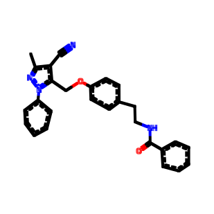 Cc1nn(-c2ccccc2)c(COc2ccc(CCNC(=O)c3ccccc3)cc2)c1C#N